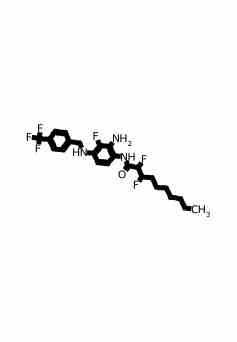 CCCCCCCC(F)C(F)C(=O)Nc1ccc(NCc2ccc(C(F)(F)F)cc2)c(F)c1N